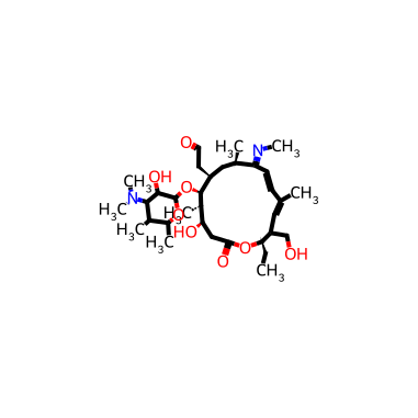 CC[C@H]1OC(=O)C[C@@H](O)[C@H](C)[C@@H](OC2OC(C)C(C)C(N(C)C)C2O)[C@@H](CC=O)C[C@@H](C)C(=NC)/C=C/C(C)=C/C1CO